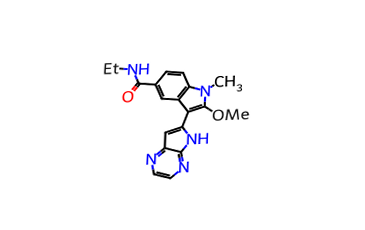 CCNC(=O)c1ccc2c(c1)c(-c1cc3nccnc3[nH]1)c(OC)n2C